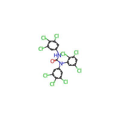 O=C(Nc1cc(Cl)c(Cl)c(Cl)c1)N(c1cc(Cl)c(Cl)c(Cl)c1)c1cc(Cl)cc(Cl)c1Cl